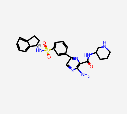 Nc1ncc(-c2cccc(S(=O)(=O)N[C@H]3CCc4ccccc43)c2)nc1C(=O)NC1CCCNC1